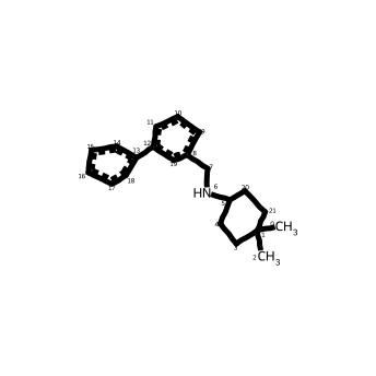 CC1(C)CCC(NCc2cccc(-c3ccccc3)c2)CC1